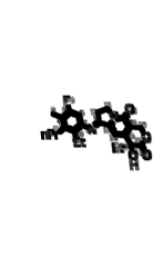 CCCc1c(C)c(F)cc(/N=C2\CCn3c2cc2c(c3=O)COC(=O)[C@]2(O)CC)c1CC